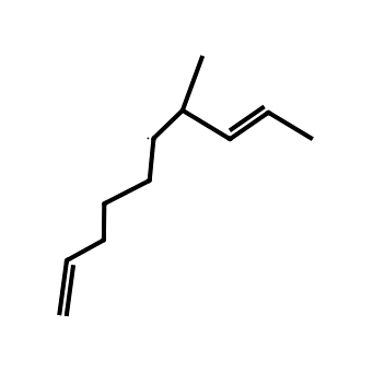 C=CCCC[CH]C(C)C=CC